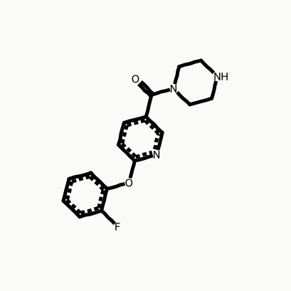 O=C(c1ccc(Oc2ccccc2F)nc1)N1CCNCC1